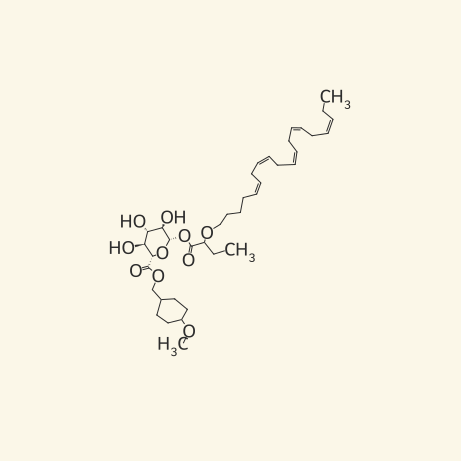 CC/C=C\C/C=C\C/C=C\C/C=C\C/C=C\CCCCOC(CC)C(=O)O[C@@H]1O[C@H](C(=O)OCC2CCC(OC)CC2)[C@@H](O)[C@H](O)[C@H]1O